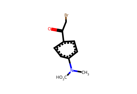 CN(C(=O)O)c1ccc(C(=O)CBr)cc1